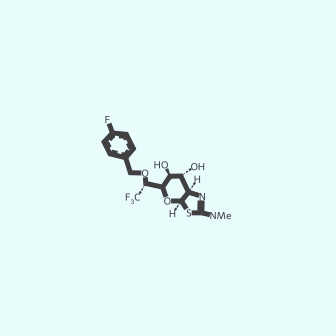 CNC1=N[C@@H]2[C@@H](O)[C@H](O)C([C@@H](OCc3ccc(F)cc3)C(F)(F)F)O[C@@H]2S1